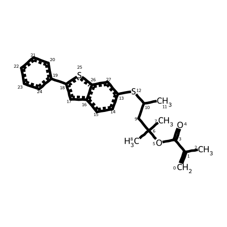 C=C(C)C(=O)OC(C)(C)CC(C)Sc1ccc2cc(-c3ccccc3)sc2c1